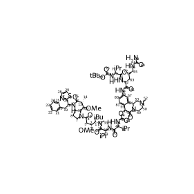 CC[C@H](C)[C@@H]([C@@H](CC(=O)N1CCC[C@H]1[C@H](OC)[C@@H](C)C(=O)N[C@@H](Cc1ccccc1)c1nccs1)OC)N(C)C(=O)[C@@H](NC(=O)[C@@H](NC(=O)OC(C(=O)N1CCN(C)CC1)c1ccc(NC(=O)[C@H](CCCNC(N)=O)NC(=O)[C@@H](NC(=O)OC(C)(C)C)C(C)C)cc1)C(C)C)C(C)C